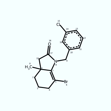 CC12CCCC(Br)=C1N(Cc1cccc(Cl)c1)C(=O)C2